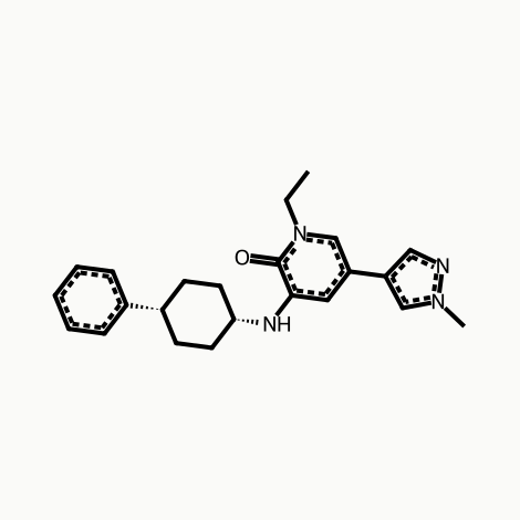 CCn1cc(-c2cnn(C)c2)cc(N[C@H]2CC[C@@H](c3ccccc3)CC2)c1=O